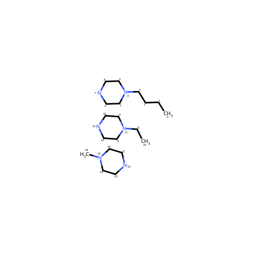 CCCCN1CC[N]CC1.CCN1CC[N]CC1.CN1CC[N]CC1